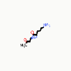 CC(=O)CCNC(=O)CCCCCN